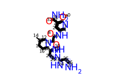 COc1ncc(NC(=O)C(=O)N2C[C@H](C)CC[C@H]2C(=N)/C=C\NC(=N)/C=C\N)cc1C(N)=O